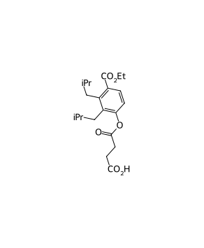 CCOC(=O)c1ccc(OC(=O)CCC(=O)O)c(CC(C)C)c1CC(C)C